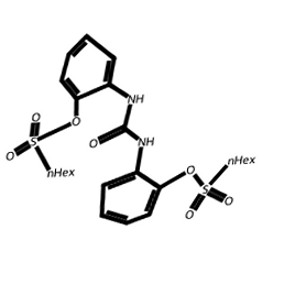 CCCCCCS(=O)(=O)Oc1ccccc1NC(=O)Nc1ccccc1OS(=O)(=O)CCCCCC